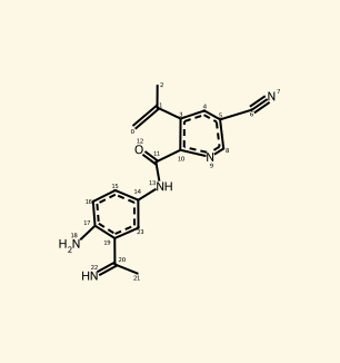 C=C(C)c1cc(C#N)cnc1C(=O)Nc1ccc(N)c(C(C)=N)c1